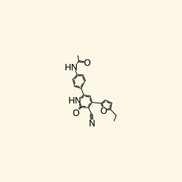 CCc1ccc(-c2cc(-c3ccc(NC(C)=O)cc3)[nH]c(=O)c2C#N)o1